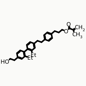 C=C(C)C(=O)OCCCc1ccc(CCc2ccc(-c3ccc(CCO)cc3CC)c(CC)c2)cc1